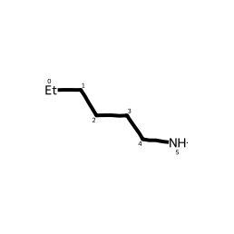 CCCCCC[NH]